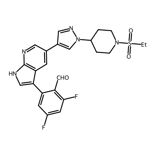 CCS(=O)(=O)N1CCC(n2cc(-c3cnc4[nH]cc(-c5cc(F)cc(F)c5C=O)c4c3)cn2)CC1